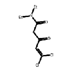 CCN(CC)C(=O)CC(=O)C=C(Cl)Cl